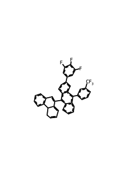 Fc1cc(-c2ccc3c(C4=Cc5ccccc5C5CC=CC=C45)c4ccccc4c(-c4cccc(C(F)(F)F)c4)c3c2)cc(F)c1F